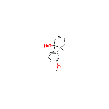 CCC1(O)CCCCC1(C)c1cccc(OC)c1